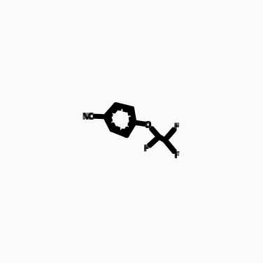 N#Cc1ccc(OC(F)C(F)F)cc1